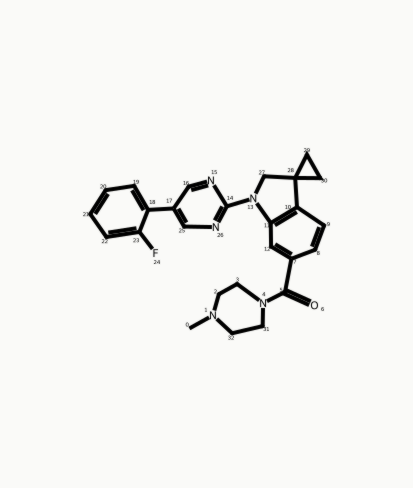 CN1CCN(C(=O)c2ccc3c(c2)N(c2ncc(-c4ccccc4F)cn2)CC32CC2)CC1